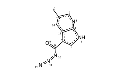 Cc1cnc2[nH]cc(C(=O)N=[N+]=[N-])c2c1